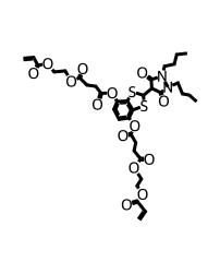 C=CC(=O)OCCOC(=O)CCC(=O)Oc1ccc(OC(=O)CCC(=O)OCCOC(=O)C=C)c2c1SC(C1C(=O)N(CCCC)N(CCCC)C1=O)S2